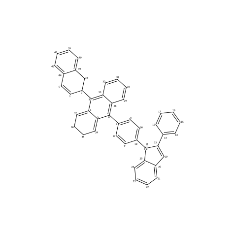 C1=CC(c2c3c(c(-c4ccc(-n5c(-c6ccccc6)cc6ccccc65)cc4)c4ccccc24)=CCCC=3)Cc2ccccc21